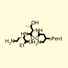 CCCCCC(CN)CC(=O)N[C@H](C(=O)N[C@@H](CCN)C(=O)CC)[C@H](C)O